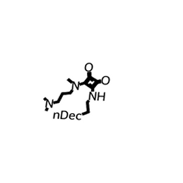 CCCCCCCCCCCCNc1c(N(C)CCCN(C)C)c(=O)c1=O